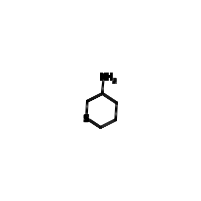 NC1CCCSC1